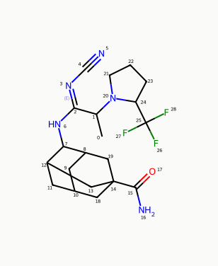 CC(/C(=N\C#N)NC1C2CC3CC1CC(C(N)=O)(C3)C2)N1CCCC1C(F)(F)F